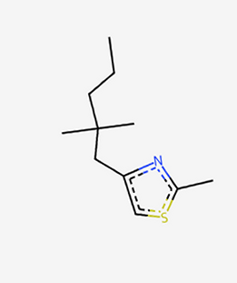 CCCC(C)(C)Cc1csc(C)n1